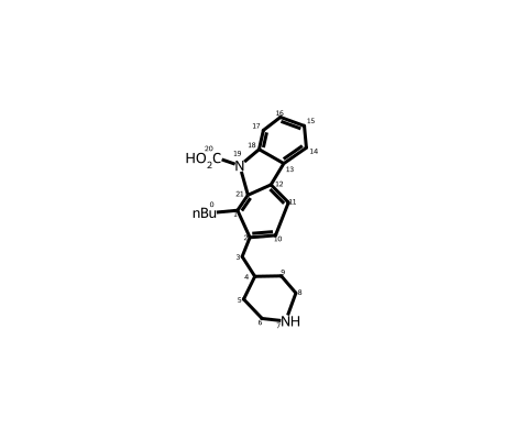 CCCCc1c(CC2CCNCC2)ccc2c3ccccc3n(C(=O)O)c12